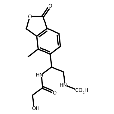 Cc1c(C(CNC(=O)O)NC(=O)CO)ccc2c1COC2=O